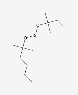 CCCCC(C)(C)OSOC(C)(C)CC